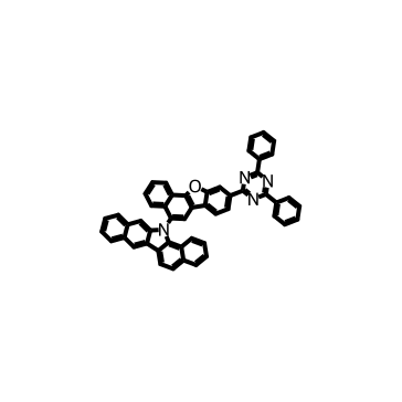 c1ccc(-c2nc(-c3ccccc3)nc(-c3ccc4c(c3)oc3c5ccccc5c(-n5c6cc7ccccc7cc6c6ccc7ccccc7c65)cc43)n2)cc1